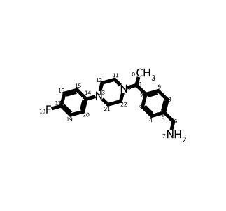 CC(c1ccc(CN)cc1)N1CCN(c2ccc(F)cc2)CC1